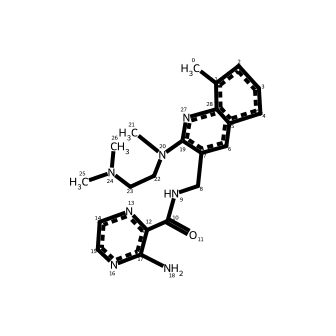 Cc1cccc2cc(CNC(=O)c3nccnc3N)c(N(C)CCN(C)C)nc12